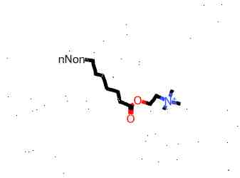 CCCCCCCCCCCCCCCC(=O)OCC[N+](C)(C)C